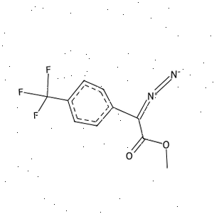 COC(=O)C(=[N+]=[N-])c1ccc(C(F)(F)F)cc1